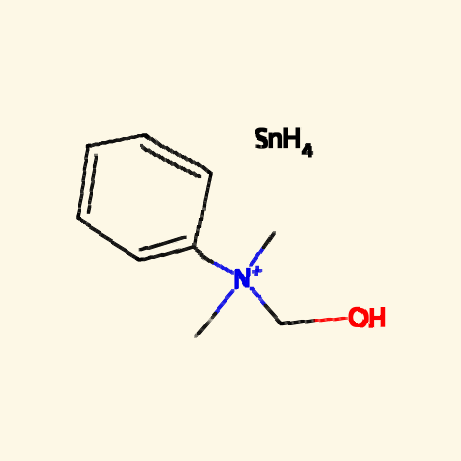 C[N+](C)(CO)c1ccccc1.[SnH4]